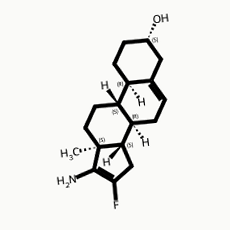 C[C@]12CC[C@H]3[C@@H](CC=C4C[C@@H](O)CC[C@@H]43)[C@@H]1CC(F)=C2N